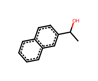 CC(O)c1[c]cc2ccccc2c1